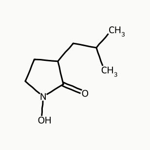 CC(C)CC1CCN(O)C1=O